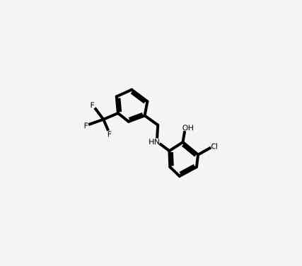 Oc1c(Cl)cccc1NCc1cccc(C(F)(F)F)c1